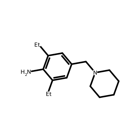 CCc1cc(CN2CCCCC2)cc(CC)c1N